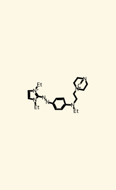 CCN(CC[N+]12CCN(CC1)CC2)c1ccc(N=Nc2n(CC)cc[n+]2CC)cc1